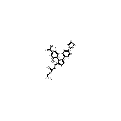 CCOC(=O)CCc1ccc(-c2ccc(-n3ccnn3)cc2)n1-c1ccc(C(N)=O)cc1C